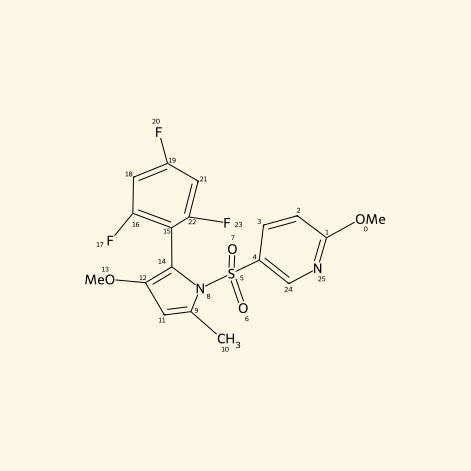 COc1ccc(S(=O)(=O)n2c(C)cc(OC)c2-c2c(F)cc(F)cc2F)cn1